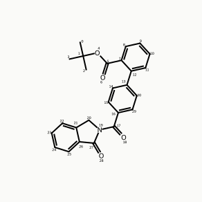 CC(C)(C)OC(=O)c1ccccc1-c1ccc(C(=O)N2Cc3ccccc3C2=O)cc1